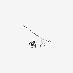 CCCCCCCCCCCCCCCC[PH](CCCC)(CCCC)CCCC.O=S(=O)(O)O